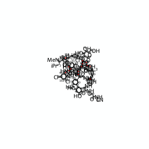 CN[C@H](CC(C)C)C(=O)N[C@H]1C(=O)N[C@@H](CC(N)=O)C(=O)N[C@H]2C(=O)N[C@H]3C(=O)N[C@H](C(=O)N[C@@H](C(=O)NOCC(=O)NC#N)c4cc(O)cc(O)c4-c4cc3ccc4O)[C@H](O)c3ccc(c(Cl)c3)Oc3cc2cc(c3O[C@@H]2O[C@H](CO)[C@@H](O)[C@H](O)[C@H]2O[C@H]2C[C@](C)(NCc3cncc(C(=O)Nc4cc(Cl)cc(Cl)c4)c3)[C@H](O)[C@H](C)O2)Oc2ccc(cc2Cl)[C@H]1O